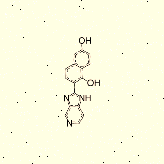 Oc1ccc2c(O)c(-c3nc4cnccc4[nH]3)ccc2c1